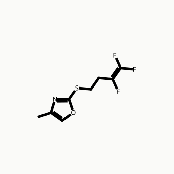 Cc1coc(SCCC(F)=C(F)F)n1